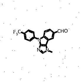 Cn1cnc2c1c1cc(C=O)ccc1n2-c1ccc(C(F)(F)F)cc1